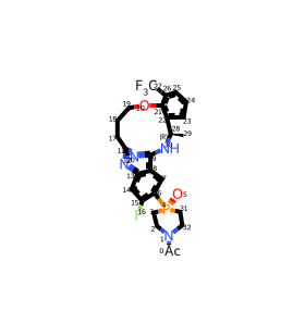 CC(=O)N1CCP(=O)(c2cc3c4nc(nc3cc2F)CCCOc2c(cccc2C(F)(F)F)[C@@H](C)N4)CC1